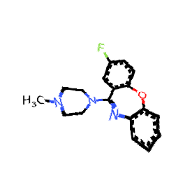 CN1CCN(C2=Nc3ccccc3Oc3ccc(F)cc32)CC1